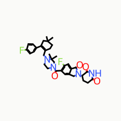 CC1(C)CCC(CN2CCN(C(=O)c3cc4c(cc3F)C(=O)N(C3CCC(=O)NC3=O)C4)CC2(C)C)=C(c2ccc(F)cc2)C1